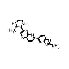 C[C@@H]1NCCNC1c1cnc2ccc(-c3ccc4oc(N)nc4c3)nc2n1